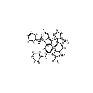 Cc1nc2cc([N+]3(c4c(C=O)n(S(=O)(=O)c5ccccc5)c5cc(CN6CCOCC6)ccc45)N=CC=C3N)ccc2[nH]1